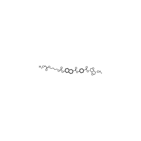 C=CC(=O)OCCCCOC(=O)Oc1ccc2cc(C(=O)Oc3ccc(C(=O)O[C@@H]4COC5C4OC[C@H]5C)cc3)ccc2c1